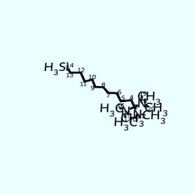 CN(C)C(CCCCCCCCCC[SiH3])(N(C)C)N(C)C